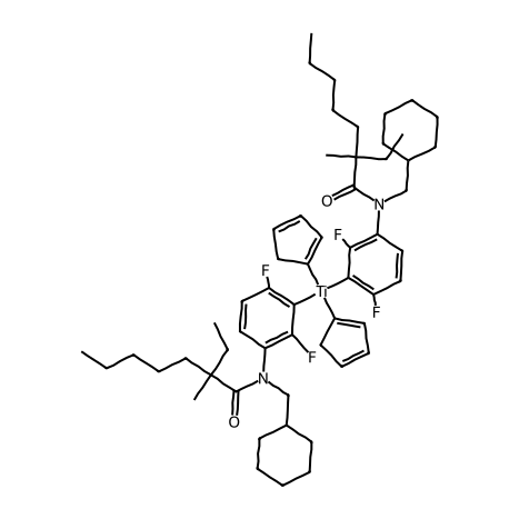 CCCCCC(C)(CC)C(=O)N(CC1CCCCC1)c1ccc(F)[c]([Ti]([C]2=CC=CC2)([C]2=CC=CC2)[c]2c(F)ccc(N(CC3CCCCC3)C(=O)C(C)(CC)CCCCC)c2F)c1F